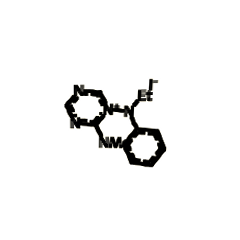 CCN(c1ccccc1)[n+]1cncnc1NC.[I-]